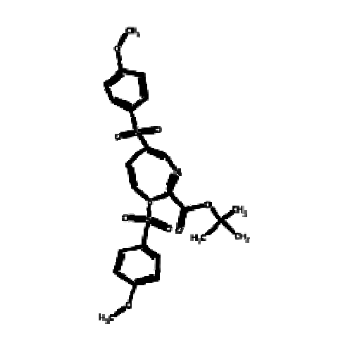 COc1ccc(S(=O)(=O)C2=CN=C(C(=O)OC(C)(C)C)N(S(=O)(=O)c3ccc(OC)cc3)C=C2)cc1